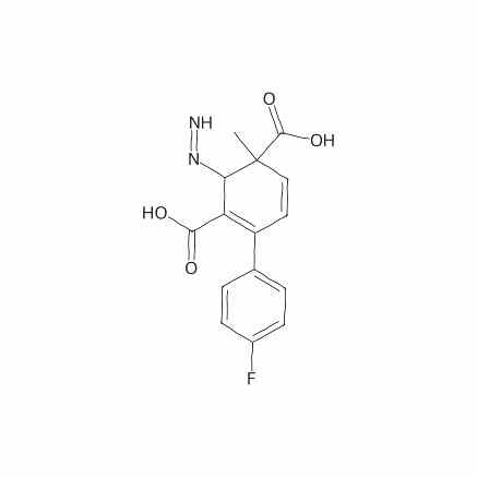 CC1(C(=O)O)C=CC(c2ccc(F)cc2)=C(C(=O)O)C1N=N